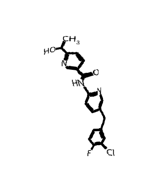 CC(O)c1ccc(C(=O)Nc2ccc(Cc3ccc(F)c(Cl)c3)cn2)cn1